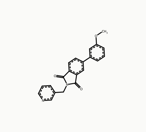 COc1cccc(-c2ccc3c(c2)C(=O)N(Cc2cccnc2)C3=O)c1